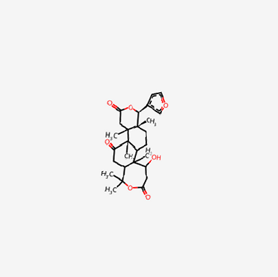 CC1(C)OC(=O)CC(O)C2(C)C1CC(=O)C1(C)C2CC[C@@]2(C)[C@H](c3ccoc3)OC(=O)CC12C